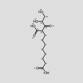 O=C(O)CCCCCCCC(C(=O)O)C(=O)C(O)CO